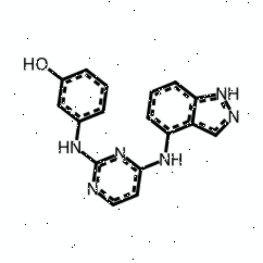 Oc1cccc(Nc2nccc(Nc3cccc4[nH]ncc34)n2)c1